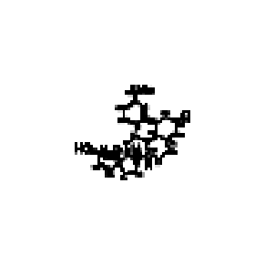 CSc1ccc([C@H]2C[C@@]3(C)[C@@H](CC[C@@]3(O)/C=C\CO)[C@@H]3CCC4=CC(=O)CCC4=C32)cc1